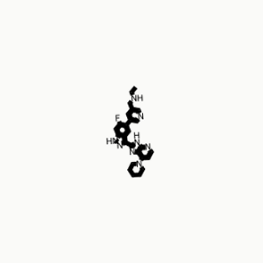 CCNCc1cncc(-c2cc3c(-c4nc5c(N6CCCCC6)ccnc5[nH]4)n[nH]c3cc2F)c1